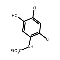 CCOC(=O)Nc1cc(O)c(Cl)cc1Cl